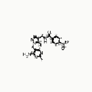 Cc1ncc(Cn2nnc(CNC(=O)c3ccc([N+](=O)[O-])cc3)c2I)c(N)n1